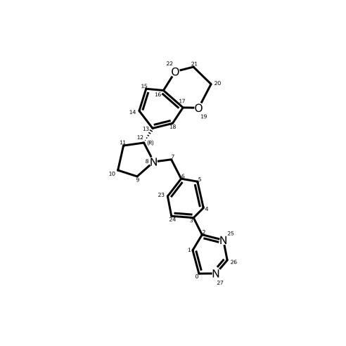 c1cc(-c2ccc(CN3CCC[C@@H]3c3ccc4c(c3)OCCO4)cc2)ncn1